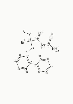 CCC(Br)(CC)C(=O)NC(N)=O.c1ccc(-c2ccccn2)nc1